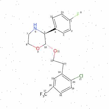 Fc1ccc([C@@H]2NCCO[C@H]2OCCc2cc(C(F)(F)F)ccc2Cl)cc1